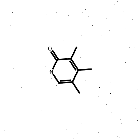 CC1=[C][N]C(=O)C(C)=C1C